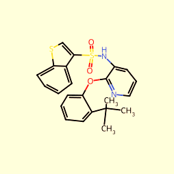 CC(C)(C)c1ccccc1Oc1ncccc1NS(=O)(=O)c1csc2ccccc12